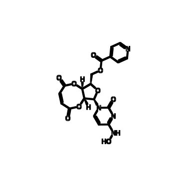 O=C1/C=C\C(=O)O[C@H]2[C@@H](O1)[C@H](n1ccc(NO)nc1=O)O[C@@H]2COC(=O)c1ccncc1